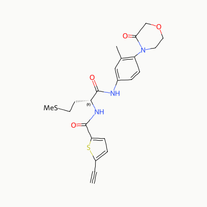 C#Cc1ccc(C(=O)N[C@H](CCSC)C(=O)Nc2ccc(N3CCOCC3=O)c(C)c2)s1